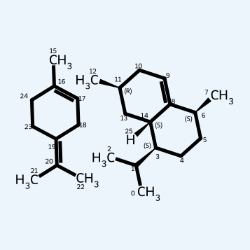 CC(C)[C@@H]1CC[C@H](C)C2=CC[C@H](C)C[C@H]21.CC1=CCC(=C(C)C)CC1